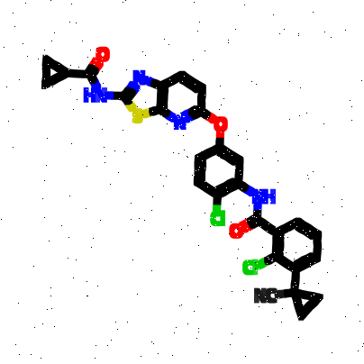 N#CC1(c2cccc(C(=O)Nc3cc(Oc4ccc5nc(NC(=O)C6CC6)sc5n4)ccc3Cl)c2Cl)CC1